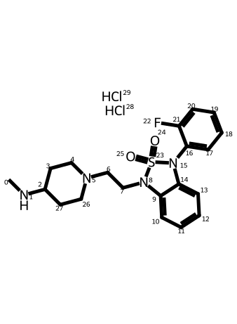 CNC1CCN(CCN2c3ccccc3N(c3ccccc3F)S2(=O)=O)CC1.Cl.Cl